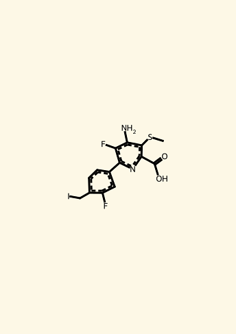 CSc1c(C(=O)O)nc(-c2ccc(CI)c(F)c2)c(F)c1N